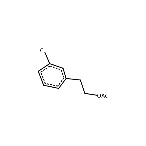 CC(=O)OCCc1cccc(Cl)c1